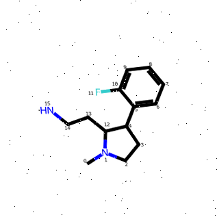 CN1CCC(c2ccccc2F)C1CC[NH]